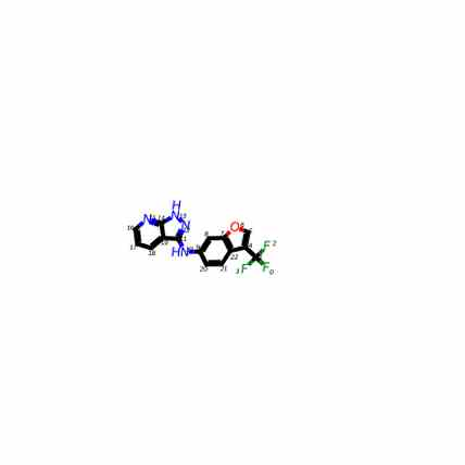 FC(F)(F)c1coc2cc(Nc3n[nH]c4ncccc34)ccc12